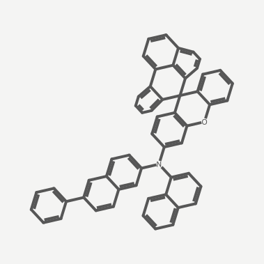 c1ccc(-c2ccc3cc(N(c4ccc5c(c4)Oc4ccccc4C54c5ccccc5-c5cccc6cccc4c56)c4cccc5ccccc45)ccc3c2)cc1